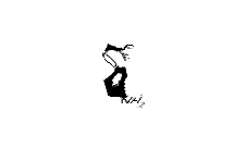 Nc1ccc(OC2CC2(F)F)cc1